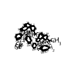 CC(C)c1ccccc1[NH][Hf+]([CH]1C=Cc2ccccc21)[SiH](c1ccccc1)c1ccccc1.CC(C)c1ccccc1[NH][Hf+]([CH]1C=Cc2ccccc21)[SiH](c1ccccc1)c1ccccc1.[Cl-].[Cl-]